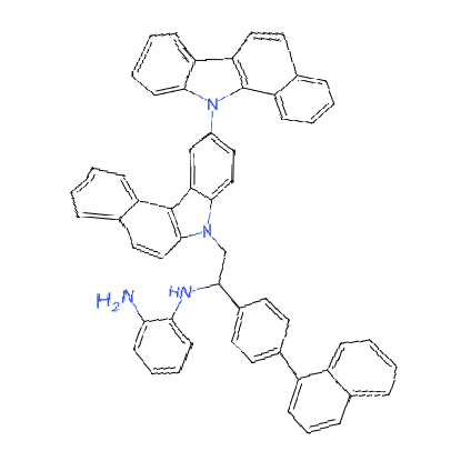 Nc1ccccc1NC(Cn1c2ccc(-n3c4ccccc4c4ccc5ccccc5c43)cc2c2c3ccccc3ccc21)c1ccc(-c2cccc3ccccc23)cc1